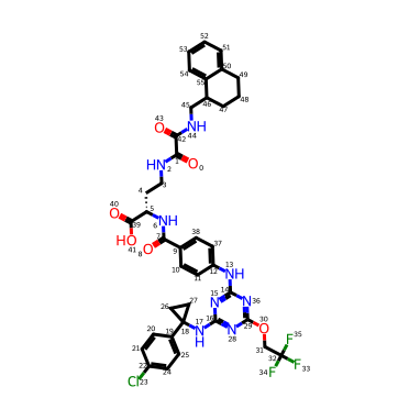 O=C(NCC[C@H](NC(=O)c1ccc(Nc2nc(NC3(c4ccc(Cl)cc4)CC3)nc(OCC(F)(F)F)n2)cc1)C(=O)O)C(=O)NCC1CCCc2ccccc21